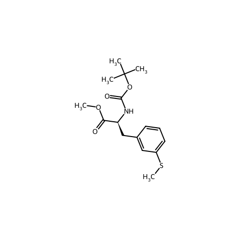 COC(=O)[C@H](Cc1cccc(SC)c1)NC(=O)OC(C)(C)C